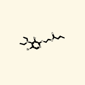 CCCC(=O)OCCOc1ncc(Br)c(N(CC)CC)c1Br